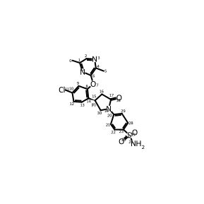 Cc1cnc(C)c(Oc2cc(Cl)ccc2[C@H]2CC(=O)N(c3ccc(S(N)(=O)=O)cc3)C2)n1